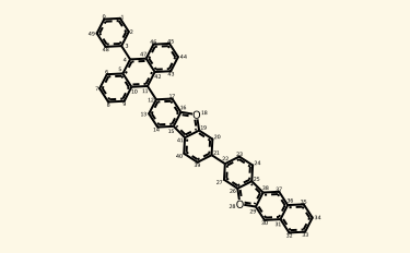 c1ccc(-c2c3ccccc3c(-c3ccc4c(c3)oc3cc(-c5ccc6c(c5)oc5cc7ccccc7cc56)ccc34)c3ccccc23)cc1